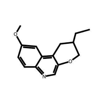 CCC1COc2cnc3ccc(OC)cc3c2C1